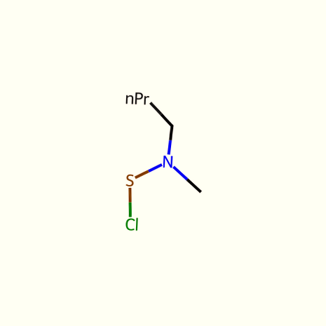 CCCCN(C)SCl